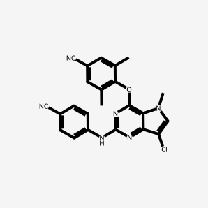 Cc1cc(C#N)cc(C)c1Oc1nc(Nc2ccc(C#N)cc2)nc2c(Cl)cn(C)c12